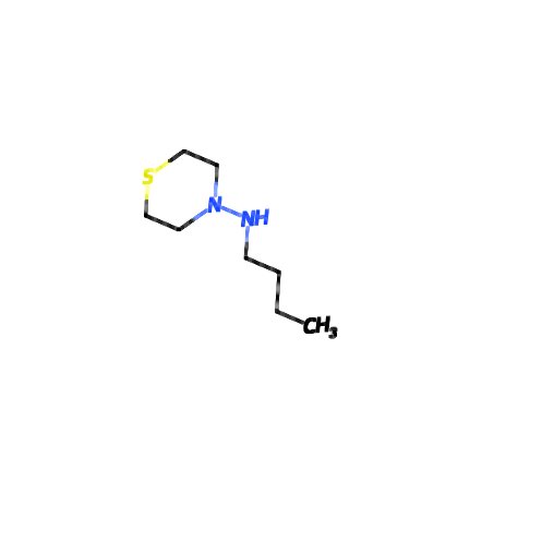 CCCCNN1CCSCC1